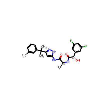 C[C@H](NC(=O)[C@@H](O)c1cc(F)cc(F)c1)C(=O)Nc1cc(C(C)(C)c2cccc(C(F)(F)F)c2)n[nH]1